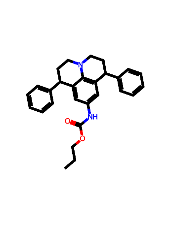 CCCOC(=O)Nc1cc2c3c(c1)C(c1ccccc1)CCN3CCC2c1ccccc1